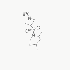 CC1CCN(S(=O)(=O)C2CN(C(C)C)C2)C(C)C1